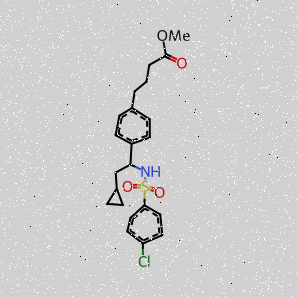 COC(=O)CCCc1ccc(C(CC2CC2)NS(=O)(=O)c2ccc(Cl)cc2)cc1